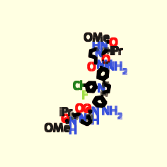 COC(=O)N[C@H](C(=O)N1CCCC1C(=O)Nc1ccc([C@H]2CC[C@H](c3ccc(NC(=O)[C@@H]4CCCN4C(=O)[C@@H](NC(=O)OC)C(C)C)c(N)c3)N2c2ccc(Cl)c(F)c2)cc1N)C(C)C